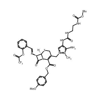 COc1ccc(COC(=O)C2=C(C[n+]3cc(NC(=O)NCCNC(=O)OC(C)(C)C)c(N)n3C)CS[C@@H]3[C@H](N=Cc4ccccc4OC(=O)C(F)(F)F)C(=O)N23)cc1